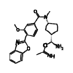 COc1cc(C(=O)N(C)[C@@H]2CC[C@H](C(N)OC(C)=N)C2)ccc1-c1nc2ccccc2o1